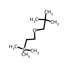 CC(C)(C)COCC[Si](C)(C)C